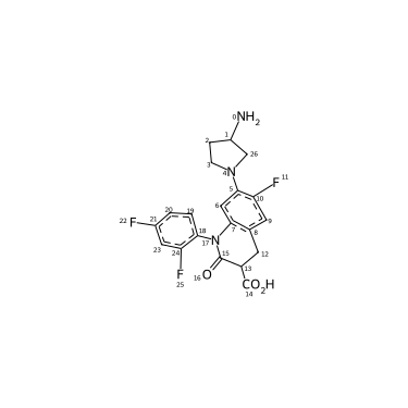 NC1CCN(c2cc3c(cc2F)CC(C(=O)O)C(=O)N3c2ccc(F)cc2F)C1